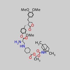 COc1ccc(C[C@H]2COC(=O)[C@@H]2Cc2ccc(OC(=O)[C@@H](N)CN[C@H]3CC[C@@H](C(=O)OC(C)OC(=O)NC45CC6CC(C)(CC(C)(C6)C4)C5)CC3)c(OC)c2)cc1OC